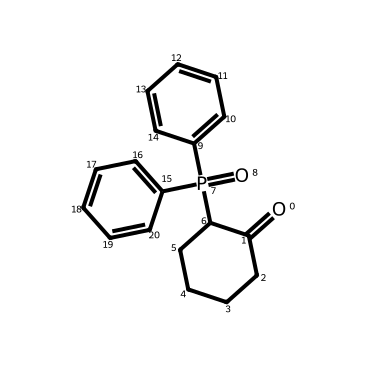 O=C1CCCCC1P(=O)(c1ccccc1)c1ccccc1